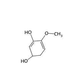 COC1=CCC(O)C=C1O